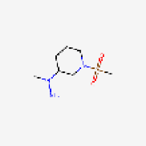 CN(N)C1CCCN(S(C)(=O)=O)C1